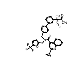 CC(C)(C(=O)O)c1cccc(-c2ccc(CN(Cc3ccc(C(F)(F)F)o3)C(=O)c3cc(C4CC4)nc4ccccc34)cc2)c1